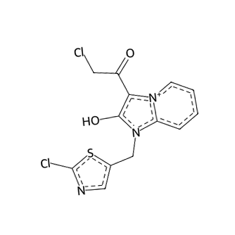 O=C(CCl)c1c(O)n(Cc2cnc(Cl)s2)c2cccc[n+]12